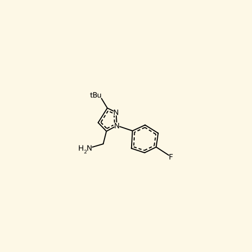 CC(C)(C)c1cc(CN)n(-c2ccc(F)cc2)n1